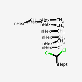 CCCCCCC.CCCCCCC.CCCCCCC.CCCCCCC.CCCCCCC.CCCCCCC.CCCCCCC.CCCCCCC.CCCCCCCC(Cl)Cl